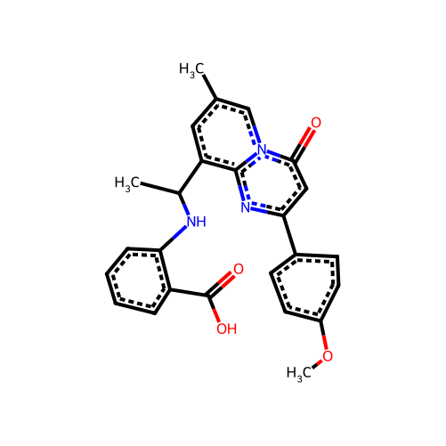 COc1ccc(-c2cc(=O)n3cc(C)cc(C(C)Nc4ccccc4C(=O)O)c3n2)cc1